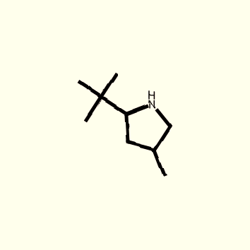 CC1CNC(C(C)(C)C)C1